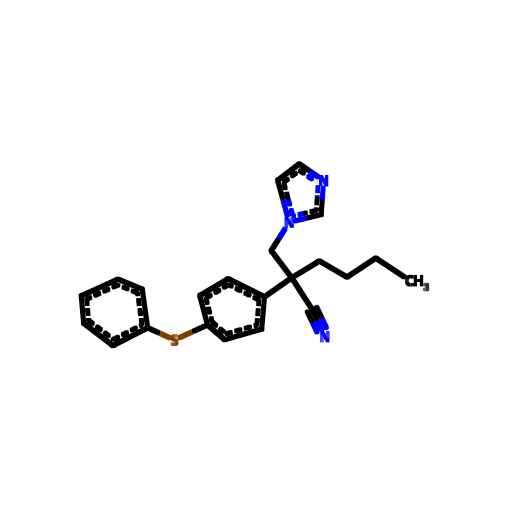 CCCCC(C#N)(Cn1ccnc1)c1ccc(Sc2ccccc2)cc1